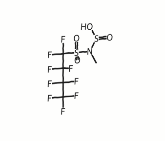 CN(S(=O)O)S(=O)(=O)C(F)(F)C(F)(F)C(F)(F)C(F)(F)F